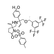 C=CC(CO[C@H](C)c1cc(C(F)(F)F)cc(C(F)(F)F)c1)(NCC1(C=C)CCC(=O)N1OS(=O)(=O)c1ccc(C)cc1)c1ccccc1.O